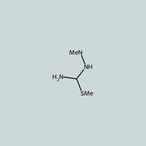 CNNC(N)SC